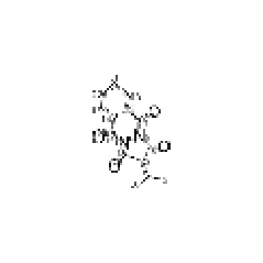 CC(C)=C1C(=O)n2c(=O)c3ccccc3c(=O)n2C1=O